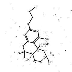 CCCCc1cc(O)c2c(c1)OC(C)(C)[C@@H]1CC[C@](C)(O)[C@@H](O)[C@@H]21